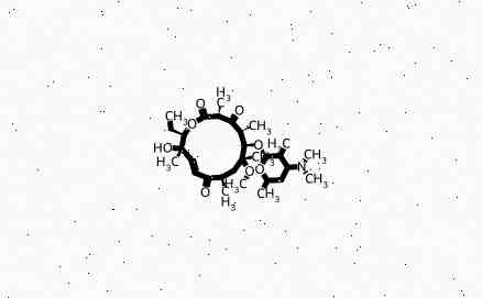 CC[C@H]1OC(=O)[C@H](C)C(=O)[C@H](C)[C@@H](O[C@@H]2OC(C)CC(N(C)C)C2C)[C@](C)(OC)C[C@@H](C)C(=O)/C=C/[C@]1(C)O